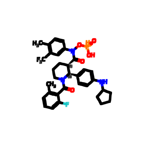 Cc1ccc(N(O[PH](=O)O)C(=O)[C@H]2CCCN(C(=O)c3c(C)cccc3F)[C@H]2c2ccc(NC3CCCC3)cc2)cc1C(F)(F)F